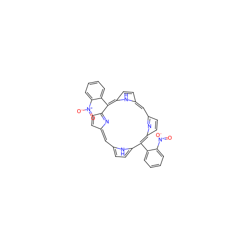 O=[N+]([O-])c1ccccc1-c1c2nc(cc3ccc([nH]3)c(-c3ccccc3[N+](=O)[O-])c3nc(cc4ccc1[nH]4)C=C3)C=C2